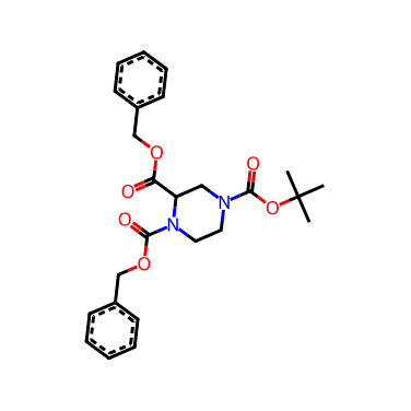 CC(C)(C)OC(=O)N1CCN(C(=O)OCc2ccccc2)C(C(=O)OCc2ccccc2)C1